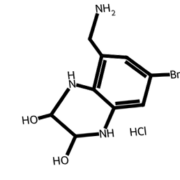 Cl.NCc1cc(Br)cc2c1NC(O)C(O)N2